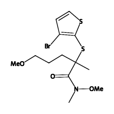 COCCCC(C)(Sc1sccc1Br)C(=O)N(C)OC